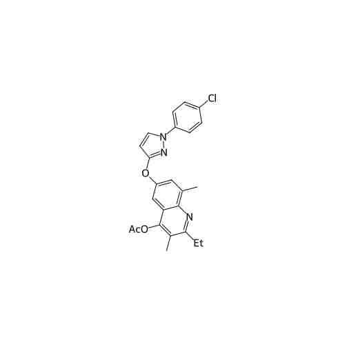 CCc1nc2c(C)cc(Oc3ccn(-c4ccc(Cl)cc4)n3)cc2c(OC(C)=O)c1C